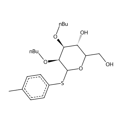 CCCCO[C@H]1[C@H](O)C(CO)OC(Sc2ccc(C)cc2)[C@H]1OCCCC